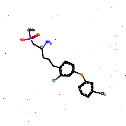 COP(=O)(O)C[C@H](N)CCCc1ccc(Sc2cccc(C(F)(F)F)c2)cc1Cl